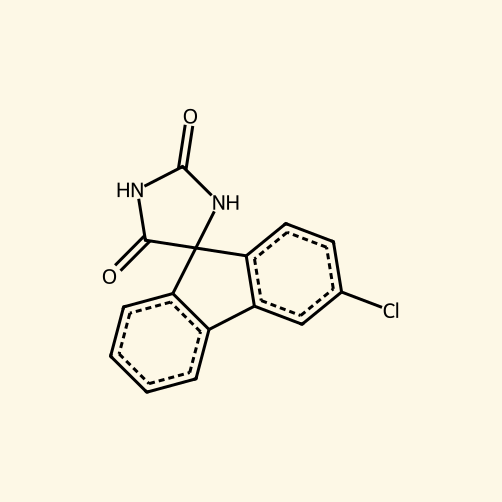 O=C1NC(=O)C2(N1)c1ccccc1-c1cc(Cl)ccc12